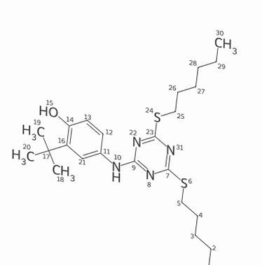 CCCCCCSc1nc(Nc2ccc(O)c(C(C)(C)C)c2)nc(SCCCCCC)n1